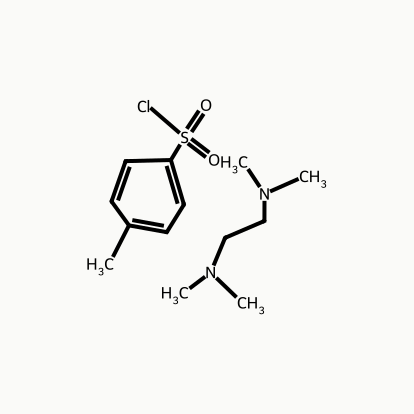 CN(C)CCN(C)C.Cc1ccc(S(=O)(=O)Cl)cc1